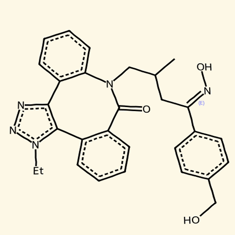 CCn1nnc2c1-c1ccccc1C(=O)N(CC(C)C/C(=N\O)c1ccc(CO)cc1)c1ccccc1-2